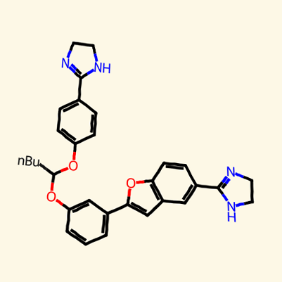 CCCCC(Oc1ccc(C2=NCCN2)cc1)Oc1cccc(-c2cc3cc(C4=NCCN4)ccc3o2)c1